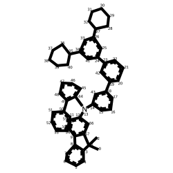 CC1(C)c2ccccc2-c2ccc(N(c3cccc(-c4cccc(-c5cc(C6CCCCC6)cc(C6CCCCC6)c5)c4)c3)c3ccccc3-c3ccccc3)cc21